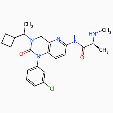 CN[C@@H](C)C(=O)Nc1ccc2c(n1)CN(C(C)C1CCC1)C(=O)N2c1cccc(Cl)c1